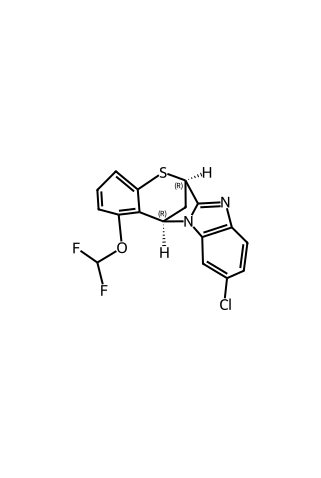 FC(F)Oc1cccc2c1[C@H]1C[C@@H](S2)c2nc3ccc(Cl)cc3n21